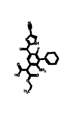 CCOC(=O)C(C(=O)O)c1cc(C(=O)c2nc(C#N)c[nH]2)c(F)c(C2=CCCCC2)c1N